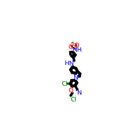 CS(=O)(=O)NC12CC(CNc3ccc4c(ccn4-c4cc(Cl)c(OCCCl)c(C#N)c4)c3)C(C1)C2